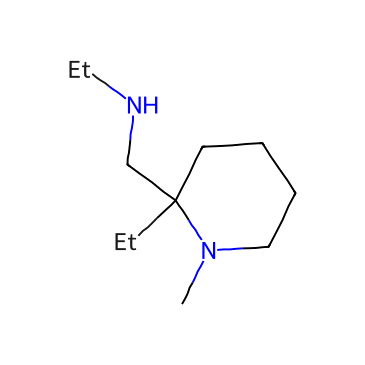 CCNCC1(CC)CCCCN1C